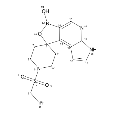 CC(C)CS(=O)(=O)N1CCC2(CC1)OB(O)c1cnc3[nH]ccc3c12